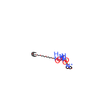 CCCCCCCCCCCCCCCCCCNC(=O)OCC(CNS(=O)(=O)CCC[n+]1cccc2ccccc21)n1cnc(C)n1